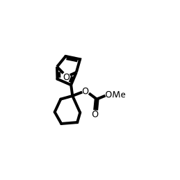 COC(=O)OC1(c2cc3ccc2o3)CCCCC1